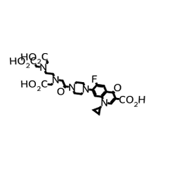 O=C(O)CN(CCN(CC(=O)O)CC(=O)N1CCN(c2cc3c(cc2F)c(=O)c(C(=O)O)cn3C2CC2)CC1)CC(=O)O